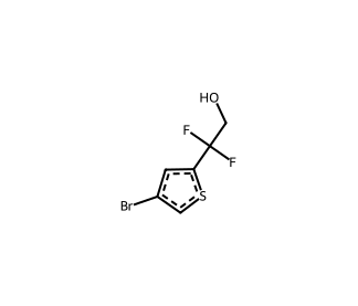 OCC(F)(F)c1cc(Br)cs1